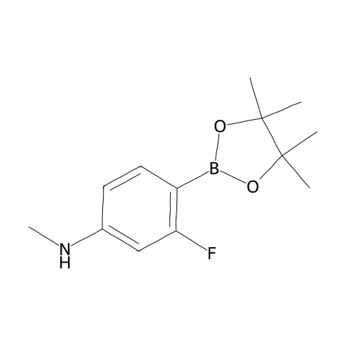 CNc1ccc(B2OC(C)(C)C(C)(C)O2)c(F)c1